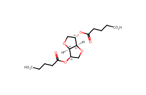 O=C(O)CCCC(=O)O[C@H]1CO[C@H]2[C@@H]1OC[C@H]2OC(=O)CCCC(=O)O